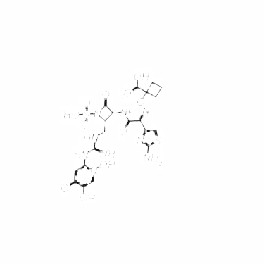 N=C(NC[C@@H]1[C@H](NC(=O)/C(=N\OC2(C(=O)O)CCC2)c2csc(N)n2)C(=O)N1S(=O)(=O)O)Nc1cc(=O)c(O)cn1O